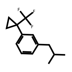 CC(C)Cc1cccc(C2(C(F)(F)F)CC2)c1